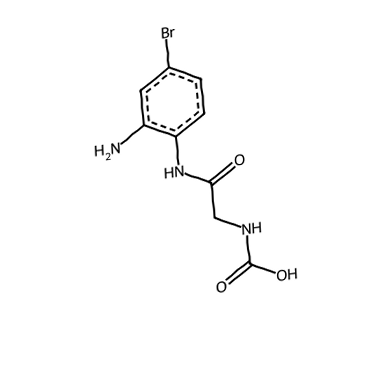 Nc1cc(Br)ccc1NC(=O)CNC(=O)O